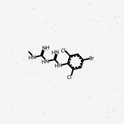 CNC(=N)NC(=N)Nc1c(Cl)cc(Br)cc1Cl